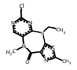 CCN1c2nc(Cl)ncc2N(C)C(=O)c2nc(C)sc21